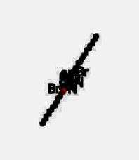 CCCCCCCCCCCCCCCCc1cc(-c2c(C#N)c(C#N)c(-c3cc(CCCCCCCCCCCCCCCC)c(Br)s3)c3nsnc23)sc1Br